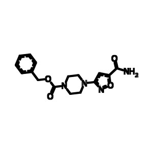 NC(=O)c1cc(N2CCN(C(=O)OCc3ccccc3)CC2)no1